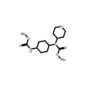 CC(C)(C)OC(=O)NC1CCC(N(C(=O)OC(C)(C)C)C2CCOCC2)CC1